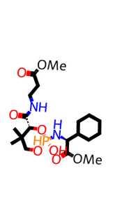 COC(=O)CCNC(=O)[C@@H]1O[PH](O)(N[C@H](C(=O)OC)C2CCCCC2)OCC1(C)C